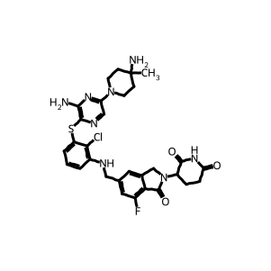 CC1(N)CCN(c2cnc(Sc3cccc(NCc4cc(F)c5c(c4)CN(C4CCC(=O)NC4=O)C5=O)c3Cl)c(N)n2)CC1